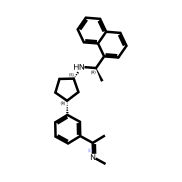 C/N=C(\C)c1cccc([C@@H]2CC[C@H](N[C@H](C)c3cccc4ccccc34)C2)c1